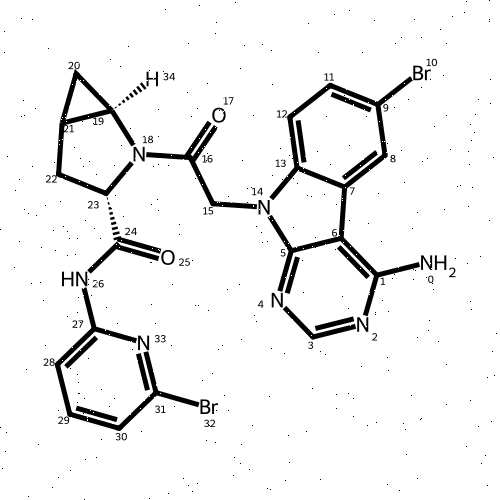 Nc1ncnc2c1c1cc(Br)ccc1n2CC(=O)N1[C@@H]2CC2C[C@H]1C(=O)Nc1cccc(Br)n1